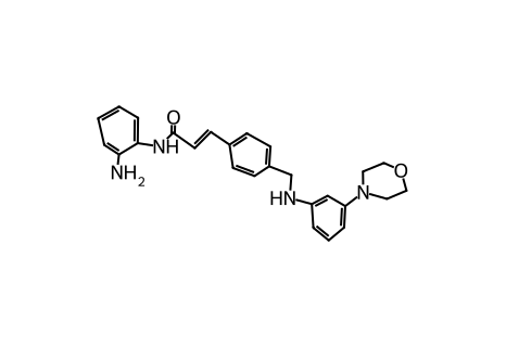 Nc1ccccc1NC(=O)C=Cc1ccc(CNc2cccc(N3CCOCC3)c2)cc1